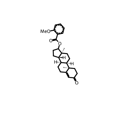 COc1ccccc1C(=O)OC1CC[C@H]2[C@@H]3CCC4=CC(=O)CC[C@]4(C)[C@@H]3CC[C@]12C